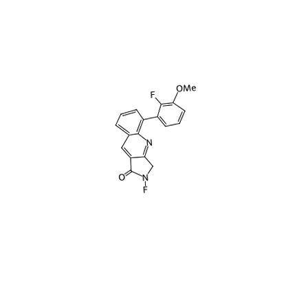 COc1cccc(-c2cccc3cc4c(nc23)CN(F)C4=O)c1F